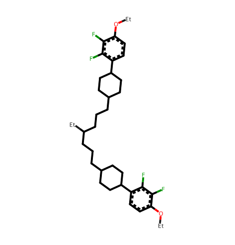 CCOc1ccc(C2CCC(CCCC(CC)CCCC3CCC(c4ccc(OCC)c(F)c4F)CC3)CC2)c(F)c1F